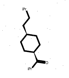 CC(C)CC[C@H]1CC[C@@H](C(=O)C(C)C)CC1